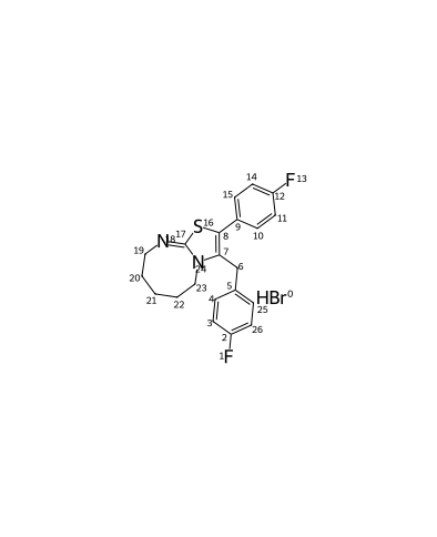 Br.Fc1ccc(CC2=C(c3ccc(F)cc3)SC3=NCCCCCN32)cc1